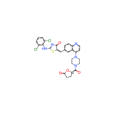 O=C1CC[C@H](C(=O)N2CCN(c3ccnc4ccc(C=C5SC(Nc6c(Cl)cccc6Cl)=NC5=O)cc34)CC2)O1